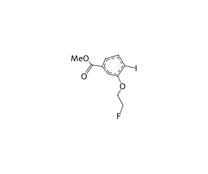 COC(=O)c1ccc(I)c(OCCF)c1